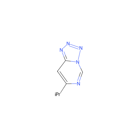 CC(C)c1cc2nnnn2cn1